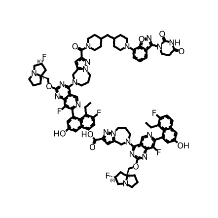 CCc1c(F)ccc2cc(O)cc(-c3ncc4c(N5CCCn6nc(C(=O)N7CCC(CC8CCN(c9cccc%10c(N%11CCC(=O)NC%11=O)noc9%10)CC8)CC7)cc6C5)nc(OC[C@@]56CCCN5C[C@H](F)C6)nc4c3F)c12.CCc1c(F)ccc2cc(O)cc(-c3ncc4c(N5CCCn6nc(C(=O)O)cc6C5)nc(OC[C@@]56CCCN5C[C@H](F)C6)nc4c3F)c12